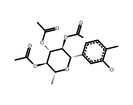 CC(=O)O[C@@H]1[C@@H](OC(C)=O)[C@H](c2ccc(C)c(Cl)c2)O[C@H](C)[C@H]1OC(C)=O